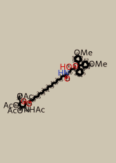 COc1ccc(C(OC[C@@H](O)CNC(=O)CCCCCCCCCCCCCCCO[C@@H]2O[C@H](COC(C)=O)[C@H](OC(C)=O)[C@H](OC(C)=O)[C@H]2NC(C)=O)(c2ccccc2)c2ccc(OC)cc2)cc1